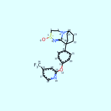 [O-][S+]1CCN2C(=N1)C1(c3ccc(Oc4cc(C(F)(F)F)ccn4)cc3)CCC2CC1